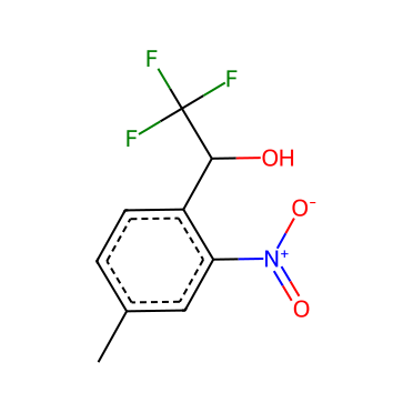 Cc1ccc(C(O)C(F)(F)F)c([N+](=O)[O-])c1